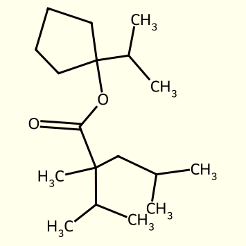 CC(C)CC(C)(C(=O)OC1(C(C)C)CCCC1)C(C)C